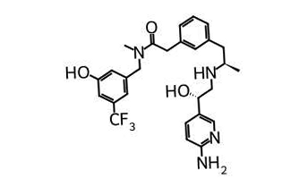 C[C@H](Cc1cccc(CC(=O)N(C)Cc2cc(O)cc(C(F)(F)F)c2)c1)NC[C@@H](O)c1ccc(N)nc1